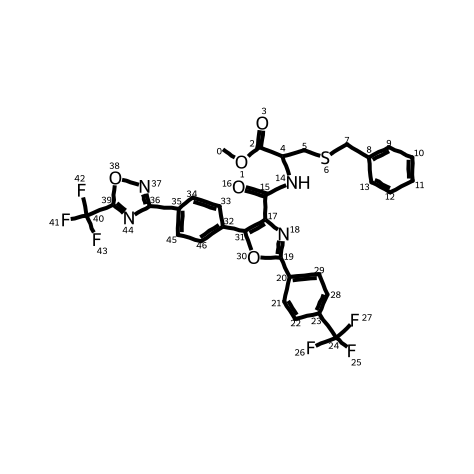 COC(=O)C(CSCc1ccccc1)NC(=O)c1nc(-c2ccc(C(F)(F)F)cc2)oc1-c1ccc(-c2noc(C(F)(F)F)n2)cc1